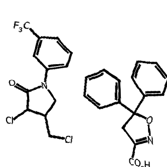 O=C(O)C1=NOC(c2ccccc2)(c2ccccc2)C1.O=C1C(Cl)C(CCl)CN1c1cccc(C(F)(F)F)c1